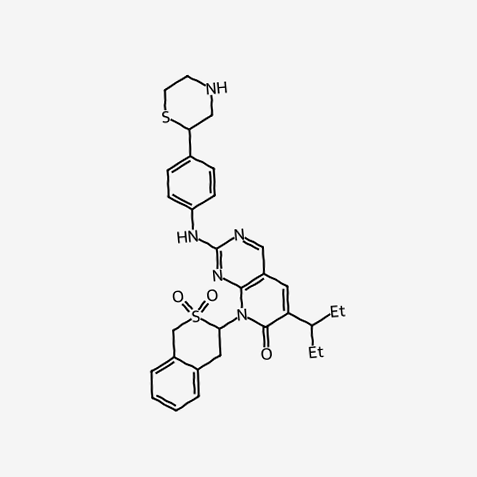 CCC(CC)c1cc2cnc(Nc3ccc(C4CNCCS4)cc3)nc2n(C2Cc3ccccc3CS2(=O)=O)c1=O